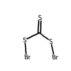 S=C(SBr)SBr